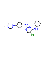 CN1CCN(c2ccc(Nc3ncc(Br)c(Nc4ccccc4)n3)cc2)CC1